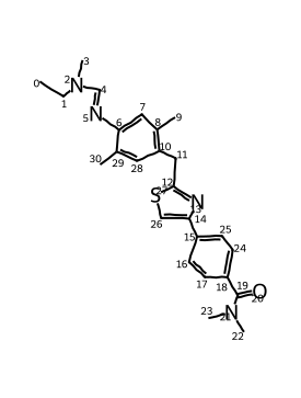 CCN(C)/C=N/c1cc(C)c(Cc2nc(-c3ccc(C(=O)N(C)C)cc3)cs2)cc1C